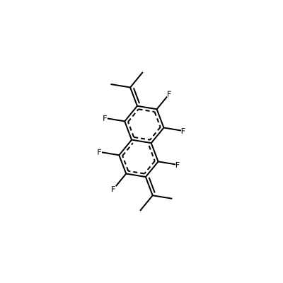 CC(C)=c1c(F)c(F)c2c(F)c(=C(C)C)c(F)c(F)c2c1F